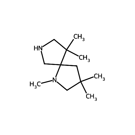 CN1CC(C)(C)CC12CNCC2(C)C